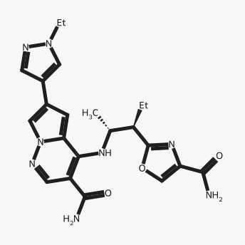 CC[C@@H](c1nc(C(N)=O)co1)[C@@H](C)Nc1c(C(N)=O)cnn2cc(-c3cnn(CC)c3)cc12